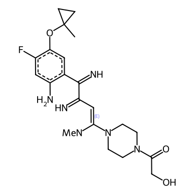 CN/C(=C\C(=N)C(=N)c1cc(OC2(C)CC2)c(F)cc1N)N1CCN(C(=O)CO)CC1